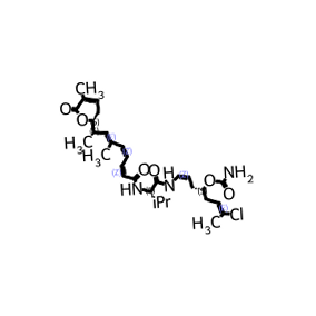 CC1=CC[C@@H]([C@@H](C)/C=C(C)/C=C\C=C/C(=O)N[C@H](C(=O)N/C=C\C[C@@H](C/C=C(\C)Cl)OC(N)=O)C(C)C)OC1=O